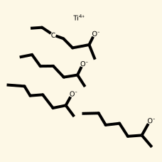 CCCCCC(C)[O-].CCCCCC(C)[O-].CCCCCC(C)[O-].CCCCCC(C)[O-].[Ti+4]